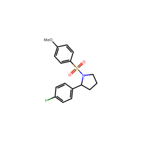 COc1ccc(S(=O)(=O)N2CCCC2c2ccc(F)cc2)cc1